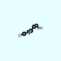 OC1CCc2ccc(-c3ccn4nc(-c5ccc(Cl)cc5)cc4c3)cc21